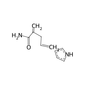 C=CCC(=C)C(N)=O.c1cc[nH]c1